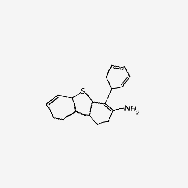 NC1=C(C2C=CC=CC2)C2SC3C=CCCC3C2CC1